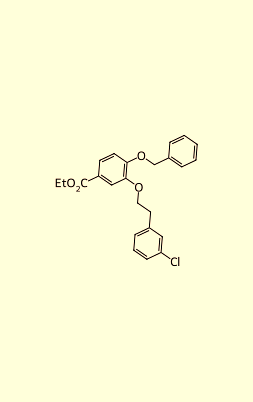 CCOC(=O)c1ccc(OCc2ccccc2)c(OCCc2cccc(Cl)c2)c1